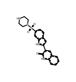 O=c1[nH]c2ccccc2cc1-c1cc2ccc(S(=O)(=O)N3CCNCC3)cc2[nH]1